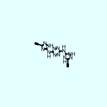 C#CC1=NNC(Nc2nnc(Nc3nc(C#C)n[nH]3)nn2)N1